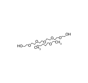 CCCCCCOCC.OCCOCCOCCOCCOCCOCCO